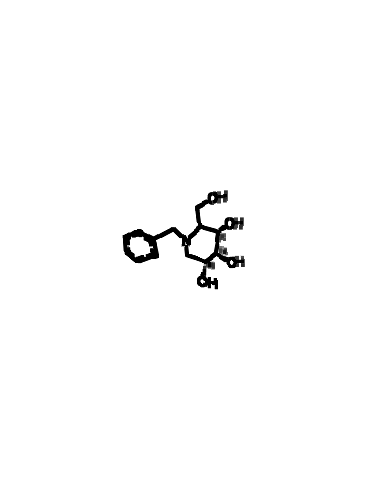 OCC1[C@@H](O)[C@@H](O)[C@H](O)CN1Cc1ccccc1